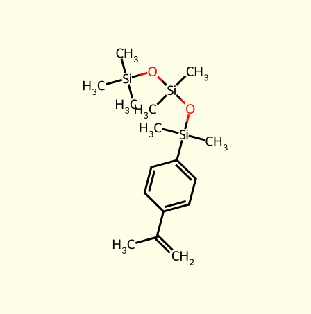 C=C(C)c1ccc([Si](C)(C)O[Si](C)(C)O[Si](C)(C)C)cc1